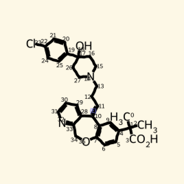 CC(C)(C(=O)O)c1ccc2c(c1)/C(=C/CCN1CCC(O)(c3ccc(Cl)cc3)CC1)c1cccnc1CO2